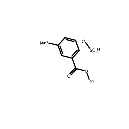 CSc1cccc(C(=O)OC(C)C)c1.O=S(=O)(O)Cl